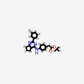 CC(C)(C)OC(=O)Cc1ccc(Nc2nc(-c3cccc(F)c3)nc3c2CCC3)cc1